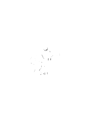 COC=C(C(=O)O)c1ccccc1Oc1nc(Cl)nnc1Cl